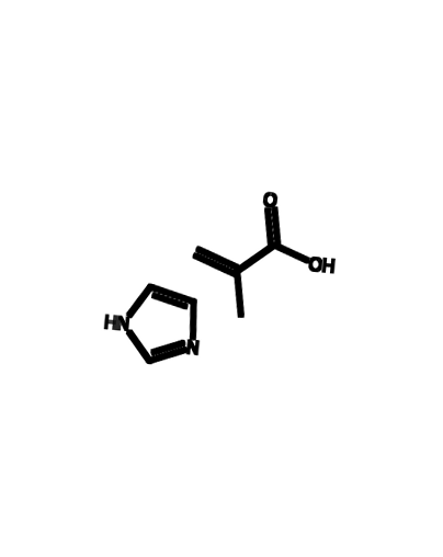 C=C(C)C(=O)O.c1c[nH]cn1